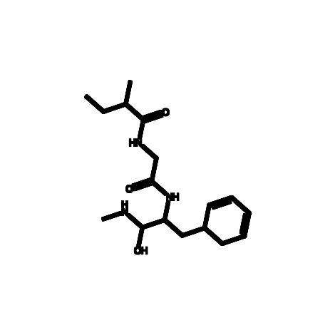 CCC(C)C(=O)NCC(=O)NC(CC1C=CC=CC1)C(O)NC